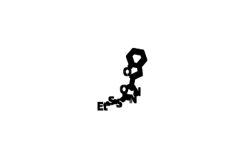 CCSSc1nnc(-c2cc3ccccc3o2)o1